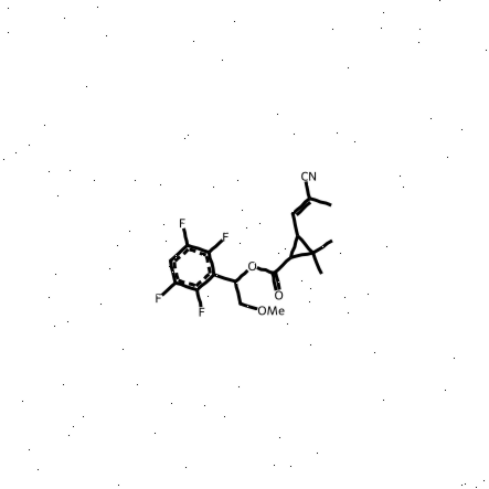 COCC(OC(=O)C1C(C=C(C)C#N)C1(C)C)c1c(F)c(F)cc(F)c1F